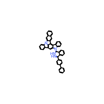 N=C(c1ccc(-c2ccccc2)cc1)c1ccccc1C(=N)n1c2ccccc2c2c3c4cc5ccccc5cc4n4c5ccccc5c(cc21)c34